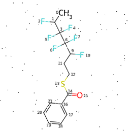 CC(F)C(F)(F)C(F)(F)C(F)CCSC(=O)c1ccccc1